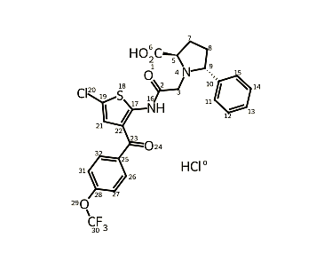 Cl.O=C(CN1[C@@H](C(=O)O)CC[C@@H]1c1ccccc1)Nc1sc(Cl)cc1C(=O)c1ccc(OC(F)(F)F)cc1